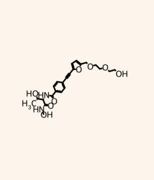 C[C@H](O)[C@H](NC(=O)c1ccc(C#Cc2ccc(COCCOCCO)o2)cc1)C(=O)NO